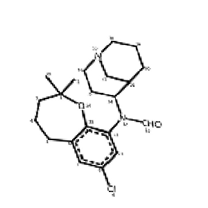 CC1(C)CCCc2cc(Cl)cc(N(C=O)C3CCN4CCCC3C4)c2O1